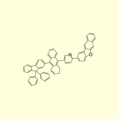 C1=Cc2c(c(-c3ccc(-c4ccc5oc6cc7ccccc7cc6c5c4)nc3)c3ccccc3c2-c2ccc3c(c2)C(c2ccccc2)(c2ccccc2)c2ccccc2-3)CC1